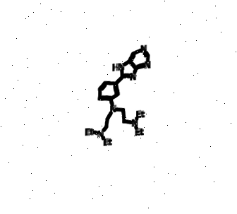 CCN(CC)CCN(CCN(CC)CC)c1cccc(-c2nc3ncncc3[nH]2)c1